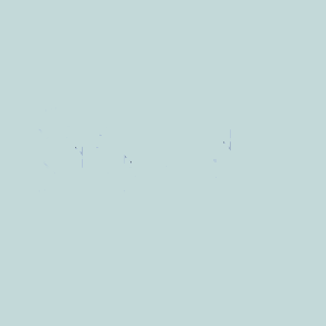 CCCCCNC(=O)CCCC(CCC)c1nc(C(=O)Nc2ccccc2-c2ccc(C)cc2)cs1